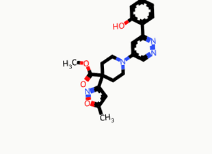 COC(=O)C1(c2cc(C)on2)CCN(c2cnnc(-c3ccccc3O)c2)CC1